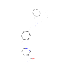 NC(=O)c1ccc(Oc2ccc(CCN(CCCC3CCCC3)Cc3ccccc3)cc2)nc1